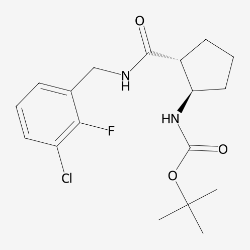 CC(C)(C)OC(=O)N[C@@H]1CCC[C@H]1C(=O)NCc1cccc(Cl)c1F